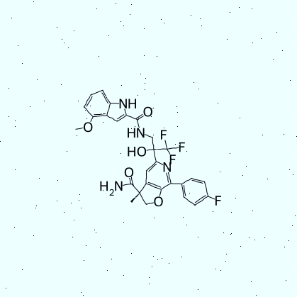 COc1cccc2[nH]c(C(=O)NCC(O)(c3cc4c(c(-c5ccc(F)cc5)n3)OC[C@]4(C)C(N)=O)C(F)(F)F)cc12